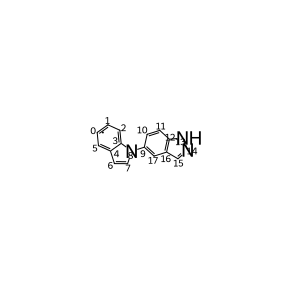 [c]1ccc2c(c1)ccn2-c1ccc2[nH]ncc2c1